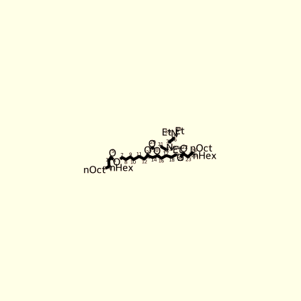 CCCCCCCCC(CCCCCC)CC(=O)OCCCCCCC(CCCCCCOC(=O)CC(CCCCCC)CCCCCCCC)OC(=O)OCCN(CC)CCN(CC)CC